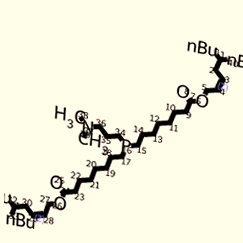 CCCCC(C/C=C\COC(=O)CCCCCCCP(CCCCCCCC(=O)OC/C=C\CC(CCCC)CCCC)CCCN(C)C)CCCC